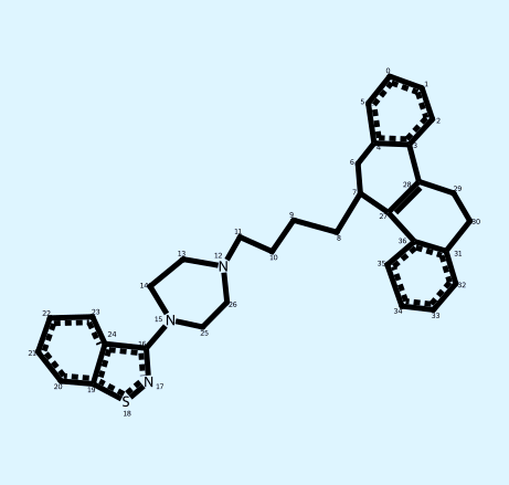 c1ccc2c(c1)CC(CCCCN1CCN(c3nsc4ccccc34)CC1)C1=C2CCc2ccccc21